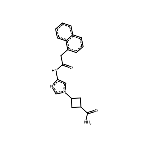 NC(=O)C1CC(n2cnc(NC(=O)Cc3cccc4ccccc34)c2)C1